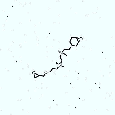 C[Si](C)(CCCOCC1CO1)CC[Si](C)(C)CCC1CCC2OC2C1